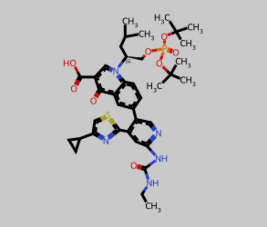 CCNC(=O)Nc1cc(-c2nc(C3CC3)cs2)c(-c2ccc3c(c2)c(=O)c(C(=O)O)cn3[C@H](COP(=O)(OC(C)(C)C)OC(C)(C)C)CC(C)C)cn1